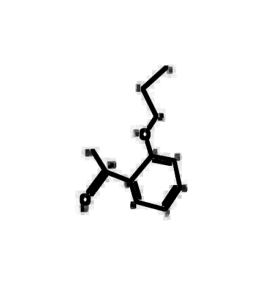 CCCOc1ccccc1C(C)=O